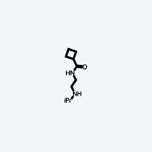 CC(C)NCCNC(=O)C1CCC1